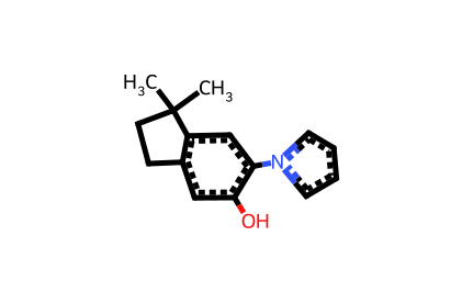 CC1(C)CCc2cc(O)c(-n3cccc3)cc21